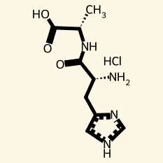 C[C@H](NC(=O)[C@H](N)Cc1c[nH]cn1)C(=O)O.Cl